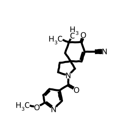 COc1ccc(C(=O)N2CCC3(C=C(C#N)C(=O)C(C)(C)C3)C2)cn1